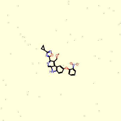 COCc1c(-c2nc(C3CC3)no2)ncc2[nH]c3ccc(Oc4ccccc4[N+](=O)[O-])cc3c12